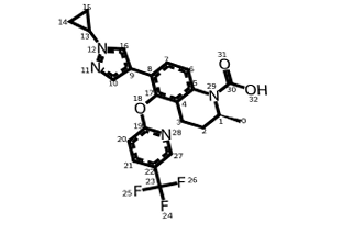 C[C@H]1CCc2c(ccc(-c3cnn(C4CC4)c3)c2Oc2ccc(C(F)(F)F)cn2)N1C(=O)O